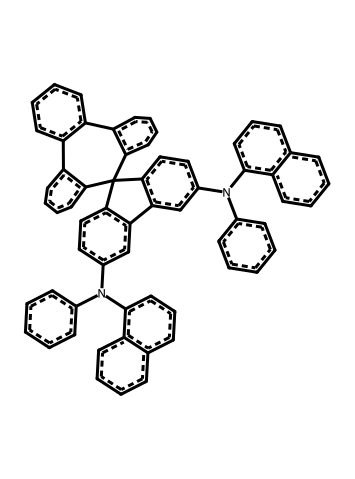 c1ccc(N(c2ccc3c(c2)-c2cc(N(c4ccccc4)c4cccc5ccccc45)ccc2C32c3ccccc3-c3ccccc3-c3ccccc32)c2cccc3ccccc23)cc1